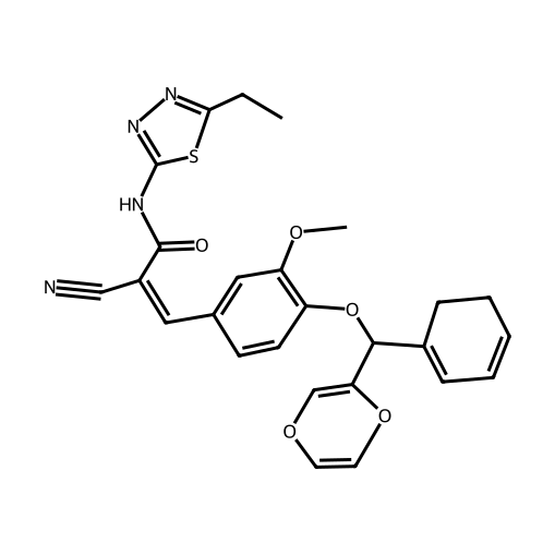 CCc1nnc(NC(=O)C(C#N)=Cc2ccc(OC(C3=CC=CCC3)C3=COC=CO3)c(OC)c2)s1